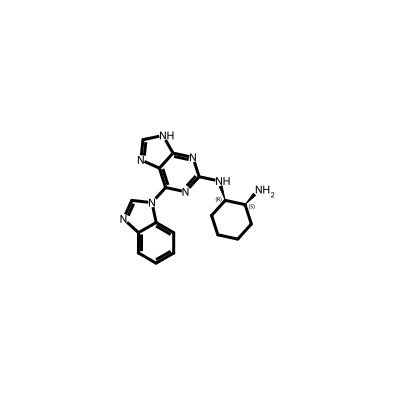 N[C@H]1CCCC[C@H]1Nc1nc(-n2cnc3ccccc32)c2nc[nH]c2n1